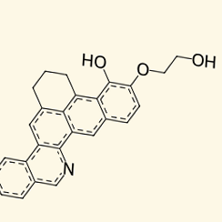 OCCOc1ccc2cc3c4c(cc5c6ccccc6cnc35)CCCc4c2c1O